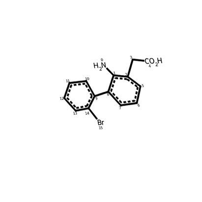 Nc1c(CC(=O)O)cccc1-c1ccccc1Br